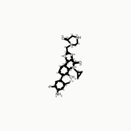 Cc1c(-c2cc(F)c(N)cc2F)ccc2c3oc(CN4CCNCC4=O)nc3c(=O)n(C3CC3)c12